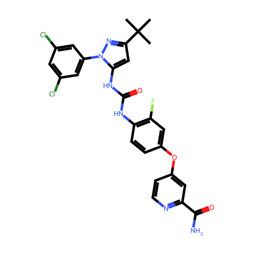 CC(C)(C)c1cc(NC(=O)Nc2ccc(Oc3ccnc(C(N)=O)c3)cc2F)n(-c2cc(Cl)cc(Cl)c2)n1